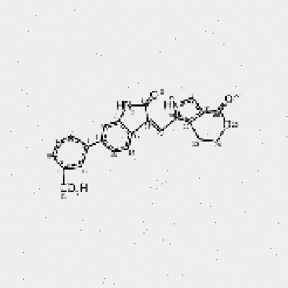 O=C1Nc2cc(-c3cccc(C(=O)O)c3)ccc2/C1=C/c1[nH]cc2c1CCOC2=O